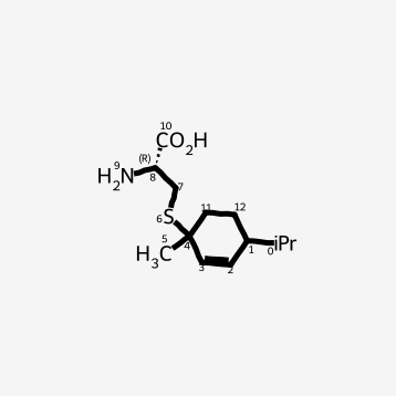 CC(C)C1C=CC(C)(SC[C@H](N)C(=O)O)CC1